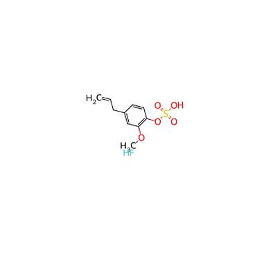 C=CCc1ccc(OS(=O)(=O)O)c(OC)c1.F